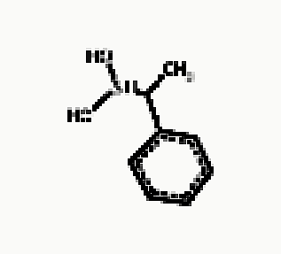 CC(c1ccccc1)[SiH](O)O